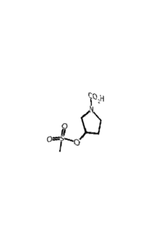 CS(=O)(=O)OC1CCN(C(=O)O)C1